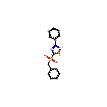 O=S(=O)(Cc1ccccc1)c1nc(-c2ccccc2)ns1